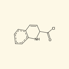 O=C(Cl)C1C=Cc2ccccc2N1